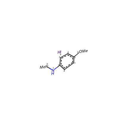 CNNc1ccc(OC)cc1.I